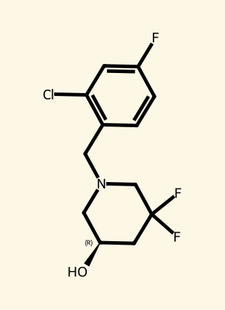 O[C@H]1CN(Cc2ccc(F)cc2Cl)CC(F)(F)C1